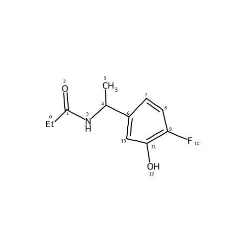 CCC(=O)NC(C)c1ccc(F)c(O)c1